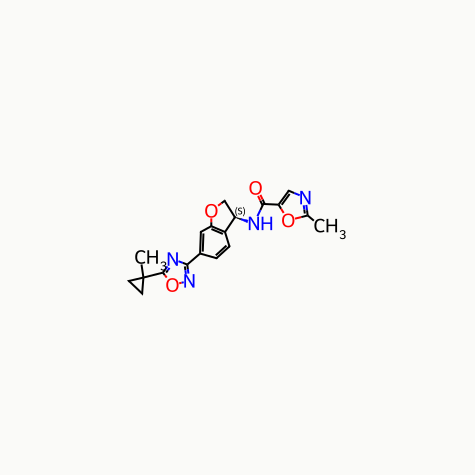 Cc1ncc(C(=O)N[C@@H]2COc3cc(-c4noc(C5(C)CC5)n4)ccc32)o1